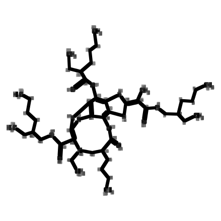 CCCCC(CC)COC(=O)/C(C)=C1/Sc2c(OC(=O)C(CC)CCCC)c3c4c(c2S1)OC(=O)C(CCCC)CN(CC)/C(C(=O)OCC(CC)CCCC)=C(/S3)S4